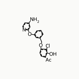 CC(=O)c1ccc(OCc2cccc(Oc3cc(N)ccn3)c2)c(Cl)c1O